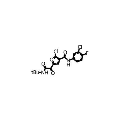 CC(C)(C)NC(=O)C(=O)c1cc(C(=O)Nc2ccc(F)c(Cl)c2)c(Cl)o1